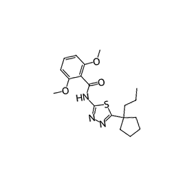 CCCC1(c2nnc(NC(=O)c3c(OC)cccc3OC)s2)CCCC1